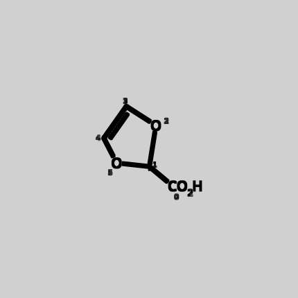 O=C(O)[C]1OC=CO1